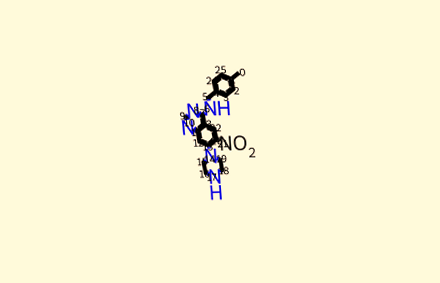 Cc1ccc(CNc2ncnc3cc(N4CCNCC4)c([N+](=O)[O-])cc23)cc1